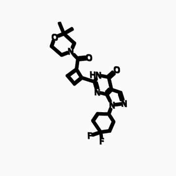 CC1(C)CN(C(=O)C2CCC2c2nc3c(cnn3C3CCC(F)(F)CC3)c(=O)[nH]2)CCO1